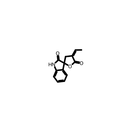 CC=C1CC2(OC1=O)C(=O)Nc1ccccc12